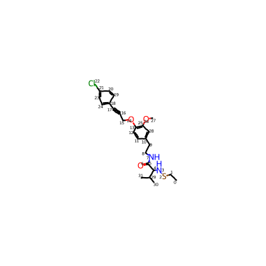 CCSNC(C(=O)NCCc1ccc(OCC#Cc2ccc(Cl)cc2)c(OC)c1)C(C)C